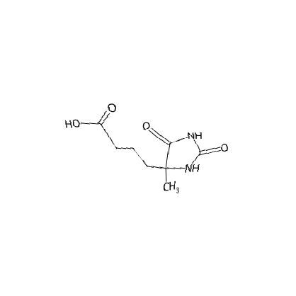 CC1(CCCC(=O)O)NC(=O)NC1=O